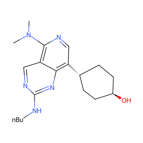 CCCCNc1ncc2c(N(C)C)ncc([C@H]3CC[C@H](O)CC3)c2n1